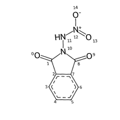 O=C1c2ccccc2C(=O)N1N[N+](=O)[O-]